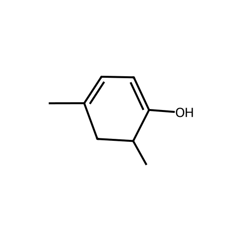 CC1=CC=C(O)C(C)C1